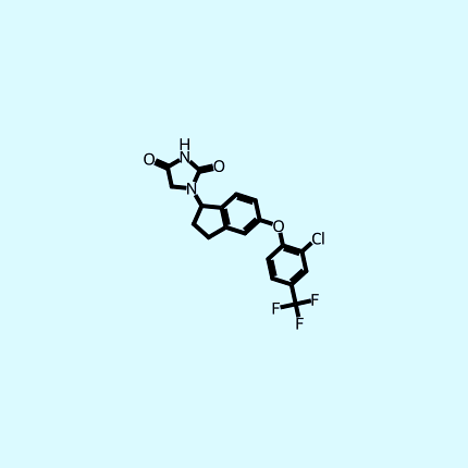 O=C1CN(C2CCc3cc(Oc4ccc(C(F)(F)F)cc4Cl)ccc32)C(=O)N1